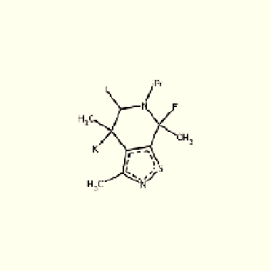 Cc1nsc2c1[C](C)([K])C(I)N(C(C)C)C2(C)F